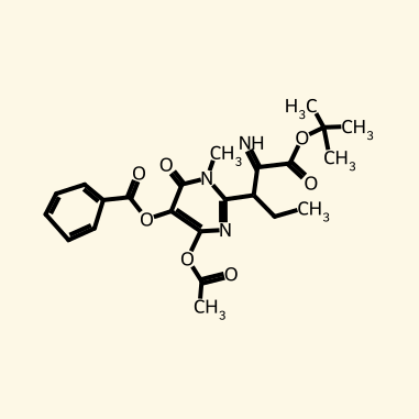 CCC(C(=N)C(=O)OC(C)(C)C)c1nc(OC(C)=O)c(OC(=O)c2ccccc2)c(=O)n1C